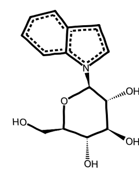 OC[C@H]1O[C@@H](n2ccc3ccccc32)[C@H](O)[C@@H](O)[C@@H]1O